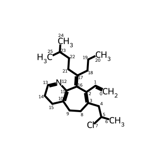 C=CC1=C(CC(C)Cl)CCC2=C(N=CCC2)/C1=C(/CCC)CCC(C)C